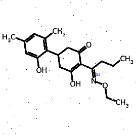 CCC/C(=N\OCC)C1=C(O)CC(c2c(C)cc(C)cc2O)CC1=O